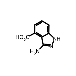 Nc1n[nH]c2cccc(C(=O)O)c12